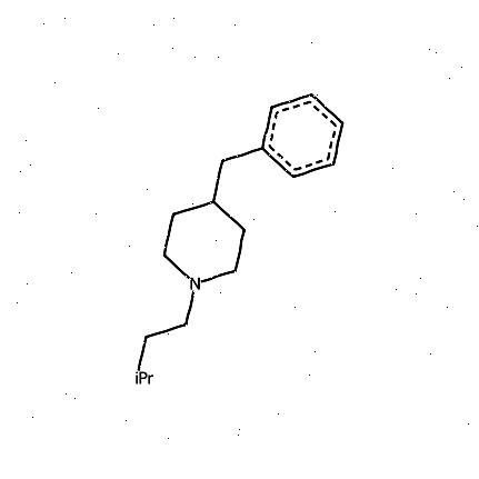 CC(C)CCN1CCC(Cc2ccccc2)CC1